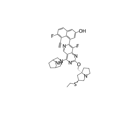 C#Cc1c(F)ccc2cc(O)cc(-c3ncc4c(N5CC6CCC(C5)N6)nc(OC[C@]56CCCN5C[C@@H](SCC)C6)nc4c3F)c12